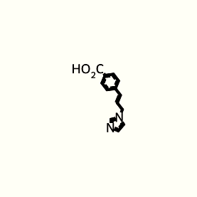 O=C(O)c1ccc(C=CCn2ccnc2)cc1